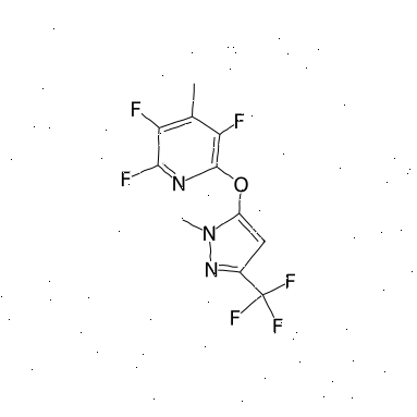 Cc1c(F)c(F)nc(Oc2cc(C(F)(F)F)nn2C)c1F